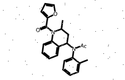 CC(=O)N(c1ccccc1C)C1CC(C)N(C(=O)c2ccco2)c2ccccc21